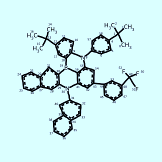 CC(C)(C)c1ccc(N2c3ccc(C(C)(C)C)cc3B3c4cc5ccccc5cc4N(c4ccc5ccccc5c4)c4cc(-c5cccc(C(F)(F)F)c5)cc2c43)cc1